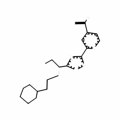 NC(=O)c1ccnc(-c2noc([C@H](CCCC3CCCCC3)CC(=O)O)n2)c1